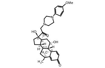 COc1ccc(N2CCN(CC(=O)[C@@]3(O)CC[C@H]4[C@@H]5C[C@H](C)C6=CC(=O)C=C[C@]6(C)[C@H]5[C@@H](O)C[C@@]43C)CC2)cc1